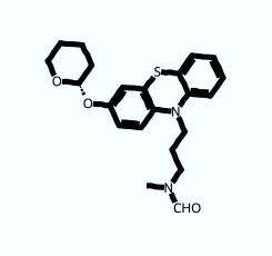 CN(C=O)CCCN1c2ccccc2Sc2cc(O[C@H]3CCCCO3)ccc21